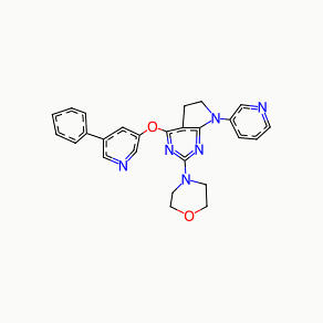 c1ccc(-c2cncc(Oc3nc(N4CCOCC4)nc4c3CCN4c3cccnc3)c2)cc1